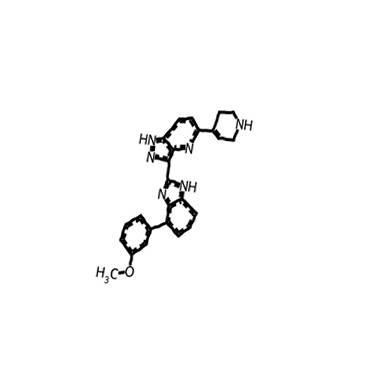 COc1cccc(-c2cccc3[nH]c(-c4n[nH]c5ccc(C6=CCNCC6)nc45)nc23)c1